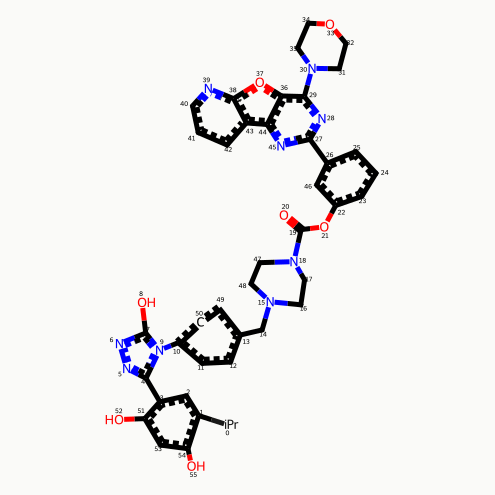 CC(C)c1cc(-c2nnc(O)n2-c2ccc(CN3CCN(C(=O)Oc4cccc(-c5nc(N6CCOCC6)c6oc7ncccc7c6n5)c4)CC3)cc2)c(O)cc1O